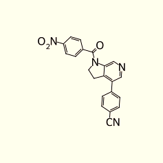 N#Cc1ccc(-c2cncc3c2CCN3C(=O)c2ccc([N+](=O)[O-])cc2)cc1